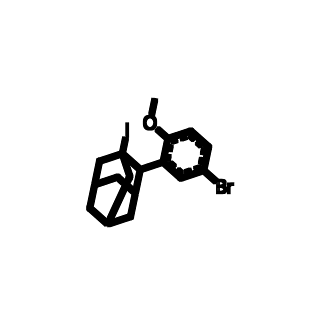 COc1ccc(Br)cc1C1C2CC3CC(C2)CC1(I)C3